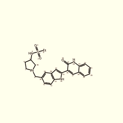 CCS(=O)(=O)NC1CCN(Cc2ccc3[nH]c(-c4cc5ccccc5[nH]c4=O)cc3c2)C1